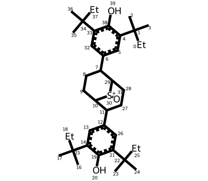 CCC(C)(C)c1cc(C2CCC3C(c4cc(C(C)(C)CC)c(O)c(C(C)(C)CC)c4)CCC2[S+]3[O-])cc(C(C)(C)CC)c1O